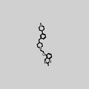 Cc1ncc2c(OCCN3CCC(Cc4cccc(C5CCN(C)CC5)c4)CC3)cccc2n1